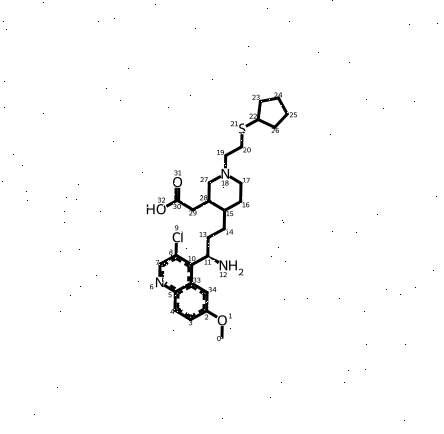 COc1ccc2ncc(Cl)c([C@H](N)CCC3CCN(CCSC4CCCC4)CC3CC(=O)O)c2c1